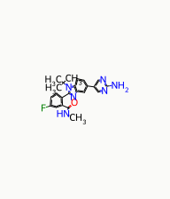 CNC(=O)c1cc(F)ccc1-c1nc2cc(-c3cnc(N)nc3)ccc2n1C(C)(C)C